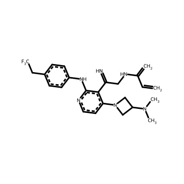 C=CC(=C)NCC(=N)c1c(N2CC(N(C)C)C2)ccnc1Nc1ccc(CC(F)(F)F)cc1